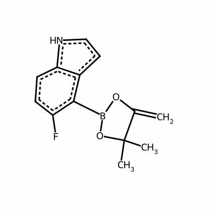 C=C1OB(c2c(F)ccc3[nH]ccc23)OC1(C)C